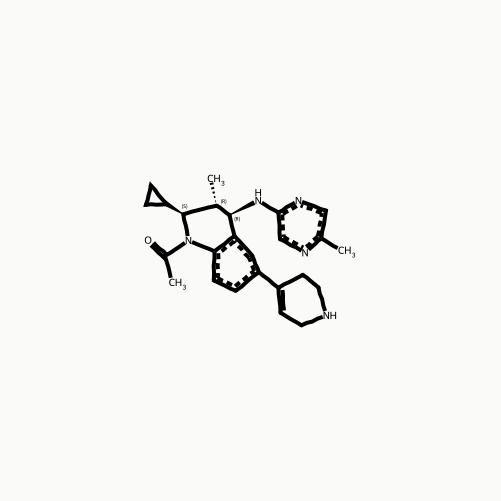 CC(=O)N1c2ccc(C3=CCNCC3)cc2[C@H](Nc2cnc(C)cn2)[C@@H](C)[C@@H]1C1CC1